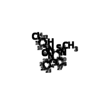 Cc1nc2c(s1)C(NC(=O)c1ccc(Cl)cc1)N=C(c1ccccc1)c1ccccc1-2